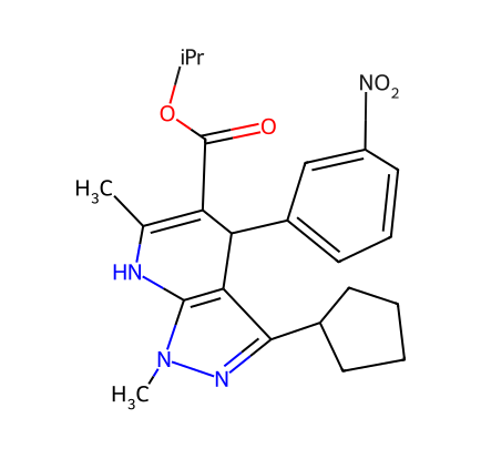 CC1=C(C(=O)OC(C)C)C(c2cccc([N+](=O)[O-])c2)c2c(C3CCCC3)nn(C)c2N1